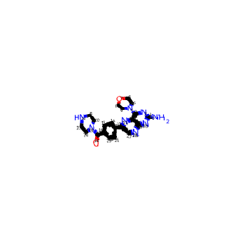 Nc1nc(N2CCOCC2)c2nc(-c3ccc(C(=O)N4CCNCC4)cc3)cnc2n1